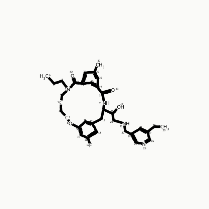 CCCN1CCCCOc2cc(F)cc(c2)CC(C(O)CNCc2cncc(CC)c2)NC(=O)c2cc(C)cc(c2)C1=O